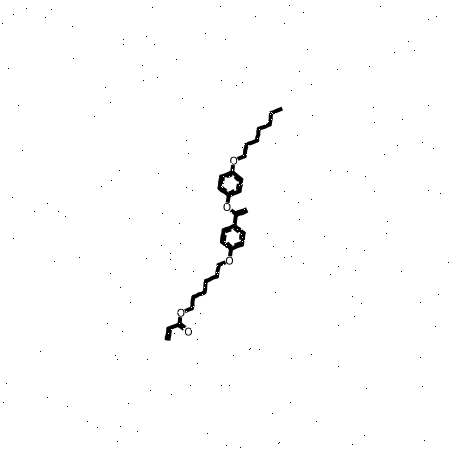 C=CC(=O)OCCCCCCOc1ccc(C(=C)Oc2ccc(OCCCCCCC)cc2)cc1